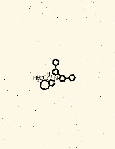 C=C1/C=C\C=C/Cc2ccc(-n3c4ccc(-c5ccccc5)cc4c4cc(-c5ccccc5)ccc43)cc2C1(C)C